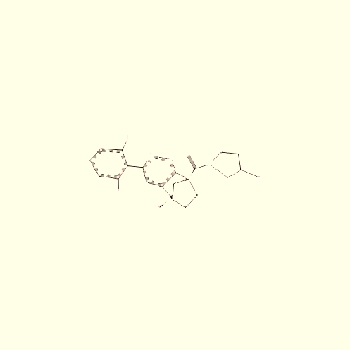 O=C(N1CCC(F)C1)[C@@]12CC[C@@H](C1)c1cc(-c3c(F)cccc3F)nnc12